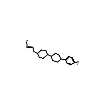 FC=CCC1CCC(C2CCC(c3ccc(F)cc3)CC2)CC1